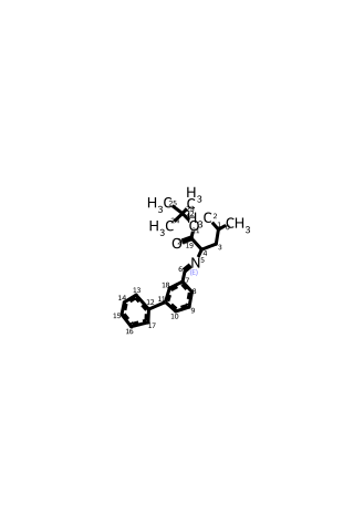 CC(C)CC(/N=C/c1cccc(-c2ccccc2)c1)C(=O)OC(C)(C)C